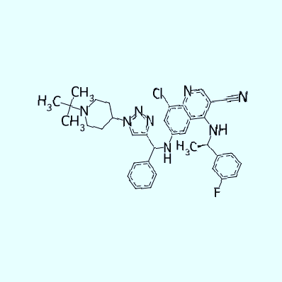 C[C@@H](Nc1c(C#N)cnc2c(Cl)cc(NC(c3ccccc3)c3cn(C4CCN(C(C)(C)C)CC4)nn3)cc12)c1cccc(F)c1